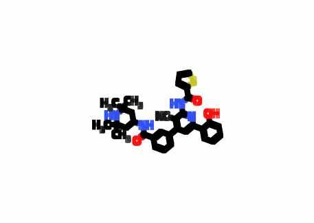 CC1(C)CC(NC(=O)c2cccc(-c3cc(-c4ccccc4O)nc(NC(=O)c4cccs4)c3C#N)c2)CC(C)(C)N1